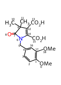 COc1ccc(CN2C(=O)C(C)(C)C(C(=O)O)=C2C(=O)O)cc1OC